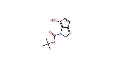 CC(C)(C)OC(=O)N1CC=C2C=CC(O)=C21